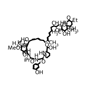 CC[C@H]1C[C@H](C)[C@@]2(NC1=O)O[C@@H](C[C@H](O)[C@@H](C)CC/C=C/C=C(\C)[C@@H]1C/C=C/C=C/[C@H](O)[C@H](C)[C@H]3O[C@](C)(OC)CC[C@H]3C(=O)N[C@@H](C(C)C)C(=O)N[C@@H](Cc3cccc(O)c3)C(=O)N3CCCC(N3)C(O)O1)[C@H](C)[C@H](O)[C@@H]2C